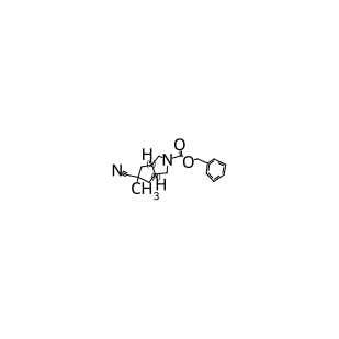 CC1(C#N)C[C@H]2CN(C(=O)OCc3ccccc3)C[C@H]2C1